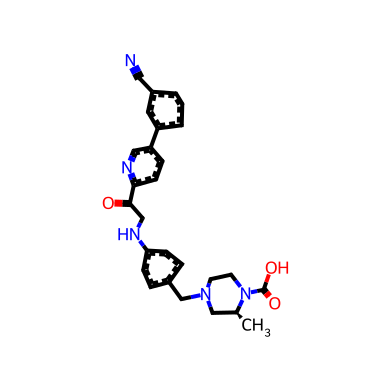 C[C@H]1CN(Cc2ccc(NCC(=O)c3ccc(-c4cccc(C#N)c4)cn3)cc2)CCN1C(=O)O